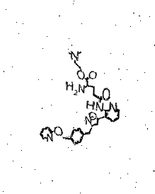 CN(C)CCOC(=O)C(N)CCC(=O)Nc1ncccc1-c1cc(Cc2ccc(COc3ccccn3)cc2)no1